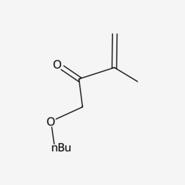 C=C(C)C(=O)COCCCC